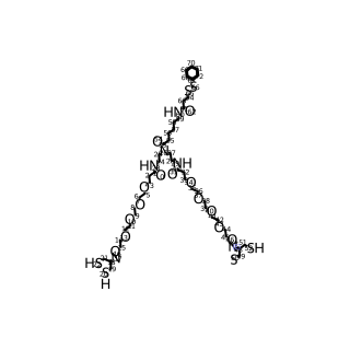 O=C(CCOCCOCCOCCOCCON=C(CS)CS)NCCN(CCNC(=O)CCOCCOCCOCCOCCO/N=C(/C=S)CS)C(=O)CCCCCNC(=O)CCSSc1ccccc1